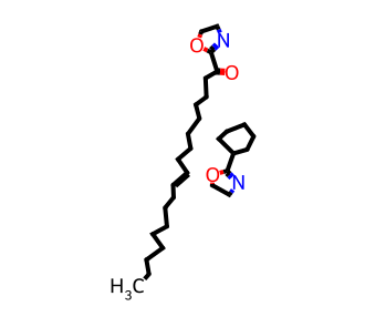 C1CCC(C2=NCCO2)CC1.CCCCCCCCC=CCCCCCCCC(=O)C1=NCCO1